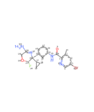 Cc1cc(Br)cnc1C(=O)Nc1cccc(C2(C3CC3)N=C(N)COC2F)c1